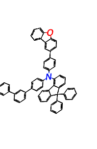 c1ccc(-c2cccc(-c3ccc(N(c4ccc(-c5ccc6oc7ccccc7c6c5)cc4)c4cccc5c4-c4ccccc4C5(c4ccccc4)c4ccccc4)cc3)c2)cc1